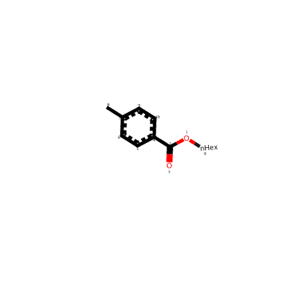 CCCCCCOC(=O)c1ccc(C)cc1